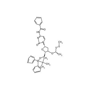 CSS[C@@H](C)OC1C[C@H](n2ccc(NC(=O)c3ccccc3)nc2=O)O[C@@H]1CO[Si](c1ccccc1)(c1ccccc1)C(C)(C)C